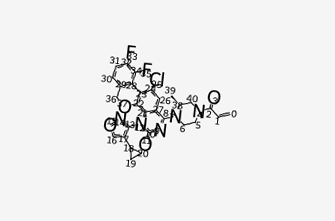 C=CC(=O)N1CCN(c2nc(=O)n(-c3nocc3C3CC3)c3c4c(c(Cl)cc23)-c2c(ccc(F)c2F)CO4)[C@@H](C)C1